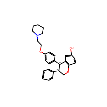 Oc1ccc2c(c1)[C@H](c1ccc(OCCN3CCCCC3)cc1)[C@H](c1ccccc1)CO2